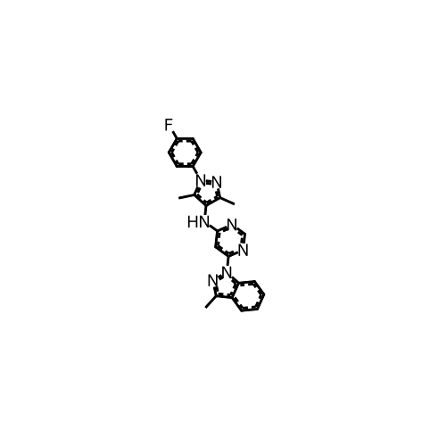 Cc1nn(-c2ccc(F)cc2)c(C)c1Nc1cc(-n2nc(C)c3ccccc32)ncn1